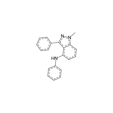 Cn1nc(-c2ccccc2)c2c(Nc3ccccc3)cccc21